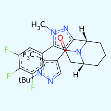 Cn1nc2c(c1-c1cc(F)c(F)c(F)c1)C[C@H]1CCC[C@@H]2N1C(=O)c1cnn(C(C)(C)C)c1C(F)(F)F